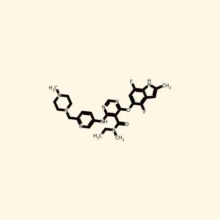 CCN(C)C(=O)c1c(Nc2ccc(CN3CCN(C)CC3)nc2)ncnc1Oc1cc(F)c2[nH]c(C)cc2c1F